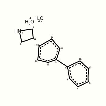 C1CNC1.O.O.c1ccc(-c2ccccc2)cc1